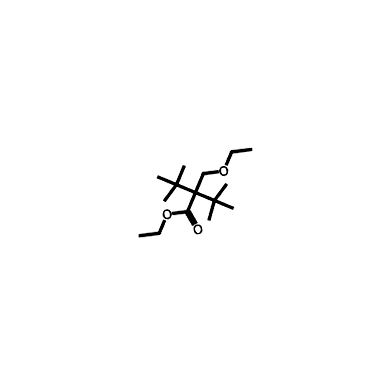 CCOCC(C(=O)OCC)(C(C)(C)C)C(C)(C)C